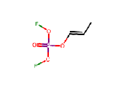 CC=COP(=O)(OF)OF